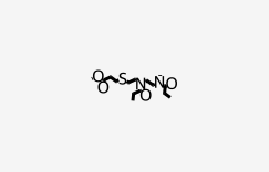 CCC(=O)N(C)CCN(CCSCCC(=O)OC)C(=O)CC